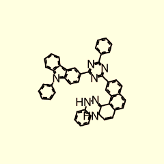 N=C1C=Cc2ccc3ccc(-c4nc(-c5ccccc5)nc(-c5ccc6c(c5)c5ccccc5n6-c5ccccc5)n4)cc3c2/C1=N/Nc1ccccc1